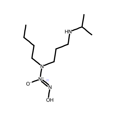 CCCCN(CCCNC(C)C)/[N+]([O-])=N/O